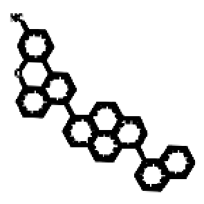 N#Cc1ccc2c(c1)Oc1cccc3c(-c4ccc5ccc6c(-c7cccc8ccccc78)ccc7ccc4c5c76)ccc-2c13